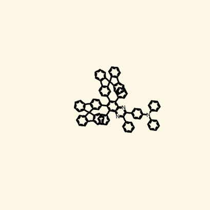 c1ccc(-c2nc3c(-c4ccccc4)c(-c4ccc5c(c4)C4(c6ccccc6-c6ccccc64)c4ccccc4-5)c(-c4ccc5c(c4)C4(c6ccccc6-c6ccccc64)c4ccccc4-5)c(-c4ccccc4)c3nc2-c2ccc(N(c3ccccc3)c3ccccc3)cc2)cc1